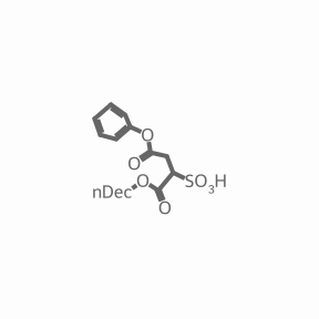 CCCCCCCCCCOC(=O)C(CC(=O)Oc1ccccc1)S(=O)(=O)O